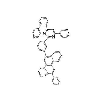 c1ccc(-c2cc(-c3ccccc3-c3ccncc3)nc(-c3cccc(-c4cc5c6ccccc6c(-c6ccccc6)cc5c5ccccc45)c3)n2)cc1